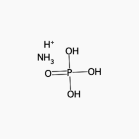 N.O=P(O)(O)O.[H+]